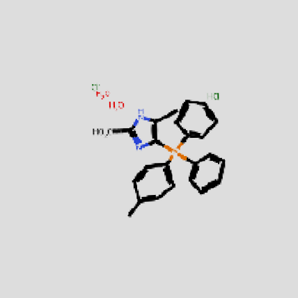 Cc1ccc([P+](c2ccccc2)(c2ccccc2)c2nc(C(=O)O)[nH]c2C)cc1.Cl.O.O.[Cl-]